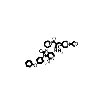 CC1(C=C(C#N)C(=O)N2CCC[C@@H](n3c(=O)n(-c4ccc(Oc5ccccc5)cc4)c4c(N)nccc43)C2)CCN(C2COC2)CC1